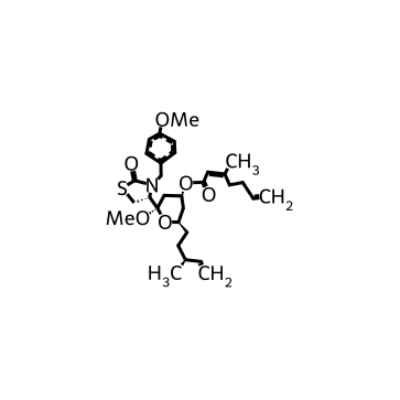 C=CCC/C(C)=C\C(=O)O[C@@H]1C[C@@H](CC[C@H](C)C=C)O[C@@](OC)([C@@H]2CSC(=O)N2Cc2ccc(OC)cc2)C1